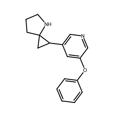 c1ccc(Oc2cncc(C3CC34CCCN4)c2)cc1